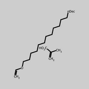 C=C(C)C(=O)O.C=COCCCCCCCCCCCCCCCCCCCCCC